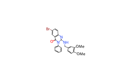 COc1ccc(CNc2nc3ccc(Br)cc3c(=O)n2-c2ccccc2)cc1OC